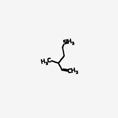 C=CC(C)CC[SiH3]